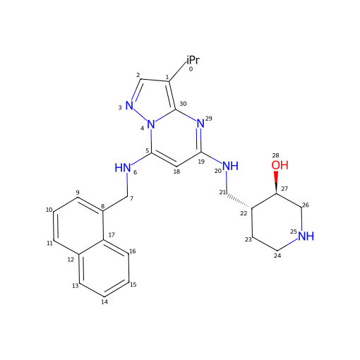 CC(C)c1cnn2c(NCc3cccc4ccccc34)cc(NC[C@H]3CCNC[C@@H]3O)nc12